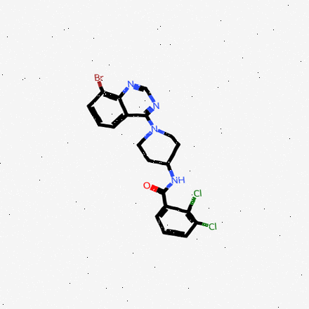 O=C(NC1CCN(c2ncnc3c(Br)cccc23)CC1)c1cccc(Cl)c1Cl